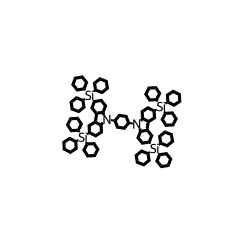 c1ccc([Si](c2ccccc2)(c2ccccc2)c2ccc3c(c2)c2cc([Si](c4ccccc4)(c4ccccc4)c4ccccc4)ccc2n3-c2ccc(-n3c4ccc([Si](c5ccccc5)(c5ccccc5)c5ccccc5)cc4c4cc([Si](c5ccccc5)(c5ccccc5)c5ccccc5)ccc43)cc2)cc1